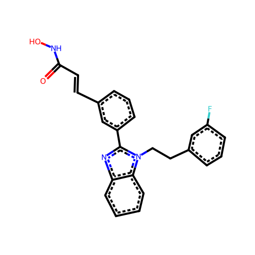 O=C(/C=C/c1cccc(-c2nc3ccccc3n2CCc2cccc(F)c2)c1)NO